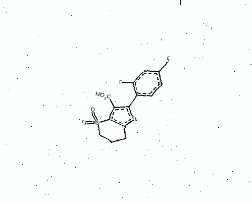 O=C(O)c1c(-c2ccc(F)cc2F)nn2c1S(=O)(=O)CCC2